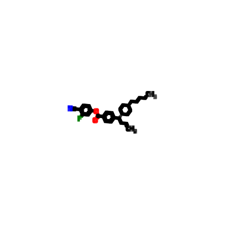 C=CCC(c1ccc(C(=O)Oc2ccc(C#N)c(F)c2)cc1)[C@H]1CC[C@H](CCCCC)CC1